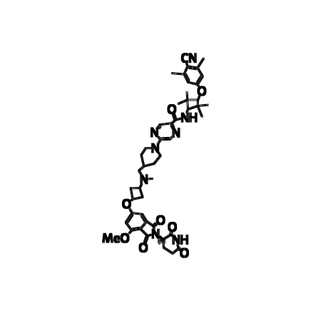 COc1cc(OC2CC(N(C)CC3CCN(c4cnc(C(=O)NC5C(C)(C)C(Oc6cc(C)c(C#N)c(C)c6)C5(C)C)cn4)CC3)C2)cc2c1C(=O)N([C@@H]1CCC(=O)NC1=O)C2=O